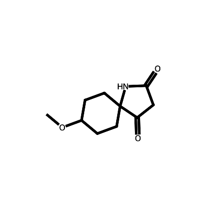 COC1CCC2(CC1)NC(=O)CC2=O